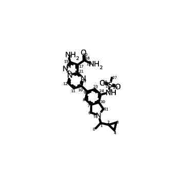 CC(C1CC1)N1Cc2cc(-c3ccn4nc(N)c(C(N)=O)c4n3)cc(NS(C)(=O)=O)c2C1